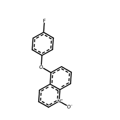 [O-][n+]1cccc2c(Oc3ccc(F)cc3)cccc21